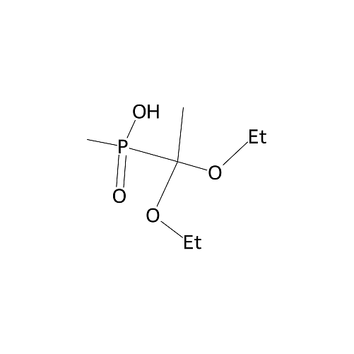 CCOC(C)(OCC)P(C)(=O)O